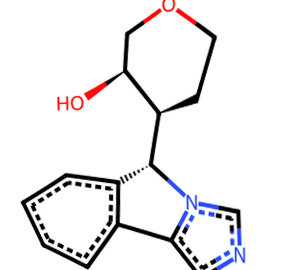 O[C@H]1COCC[C@H]1[C@H]1c2ccccc2-c2cncn21